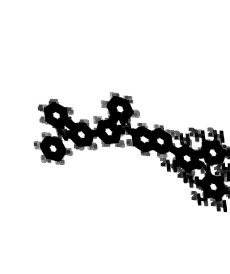 [2H]c1c([2H])c([2H])c(-n2c3c([2H])c([2H])c([2H])c([2H])c3c3c([2H])c(-c4ccc5cc(-n6c7ccccc7c7cc(-c8ccc9c(c8)c8ccccc8n9-c8ccccc8)ccc76)ccc5c4)c([2H])c([2H])c32)c([2H])c1[2H]